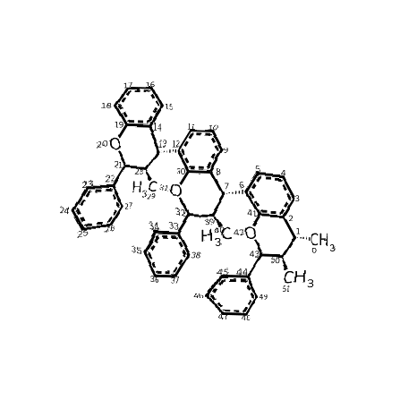 C[C@H]1c2cccc([C@H]3c4cccc([C@H]5c6ccccc6OC(c6ccccc6)[C@@H]5C)c4OC(c4ccccc4)[C@@H]3C)c2OC(c2ccccc2)[C@@H]1C